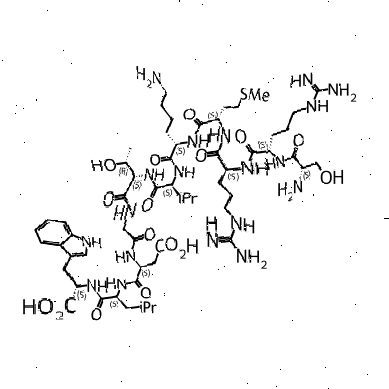 CSCC[C@H](NC(=O)[C@H](CCCNC(=N)N)NC(=O)[C@H](CCCNC(=N)N)NC(=O)[C@@H](N)CO)C(=O)N[C@@H](CCCCN)C(=O)N[C@H](C(=O)N[C@H](C(=O)NCC(=O)N[C@@H](CC(=O)O)C(=O)N[C@@H](CC(C)C)C(=O)N[C@@H](Cc1c[nH]c2ccccc12)C(=O)O)[C@@H](C)O)C(C)C